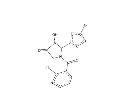 O=C1CN(C(=O)c2cccnc2Cl)C(c2cc(Br)cs2)N1O